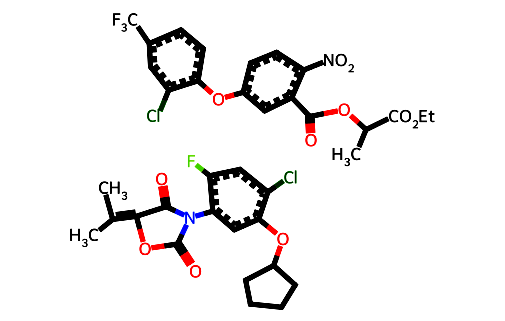 CC(C)=C1OC(=O)N(c2cc(OC3CCCC3)c(Cl)cc2F)C1=O.CCOC(=O)C(C)OC(=O)c1cc(Oc2ccc(C(F)(F)F)cc2Cl)ccc1[N+](=O)[O-]